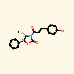 C[C@H]1[C@H](c2ccccc2)OC(=O)N1C(=O)C=Cc1ccc(Br)cc1